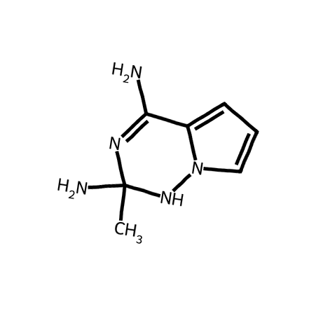 CC1(N)N=C(N)c2cccn2N1